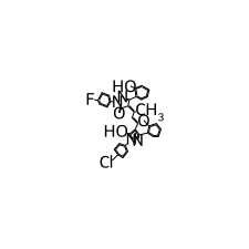 CC(C=C1Oc2ccccc2-c2nn(-c3ccc(Cl)cc3)c(O)c21)=C1C(=O)N(c2ccc(F)cc2)N=C1c1ccccc1O